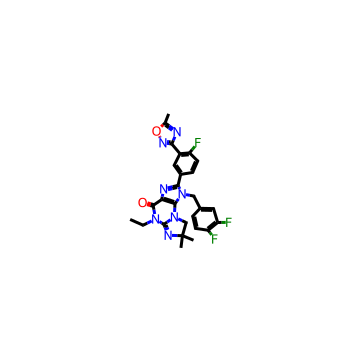 CCN1C(=O)c2nc(-c3ccc(F)c(-c4noc(C)n4)c3)n(Cc3ccc(F)c(F)c3)c2N2CC(C)(C)N=C12